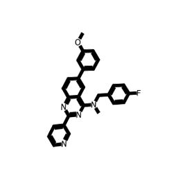 COc1cccc(-c2ccc3nc(-c4cccnc4)nc(N(C)Cc4ccc(F)cc4)c3c2)c1